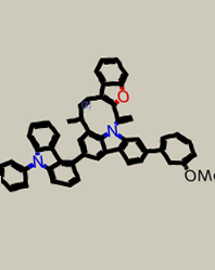 C=C1c2oc3ccccc3c2/C=C\C(C)c2cc(-c3cccc4c3c3ccccc3n4-c3ccccc3)cc3c4ccc(C5=CC=CC=C(OC)C5)cc4n1c23